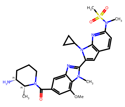 COc1cc(C(=O)N2CCC[C@@H](N)[C@H]2C)cc2nc(-c3cc4ccc(N(C)S(C)(=O)=O)nc4n3C3CC3)n(C)c12